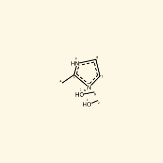 CO.CO.Cc1ncc[nH]1